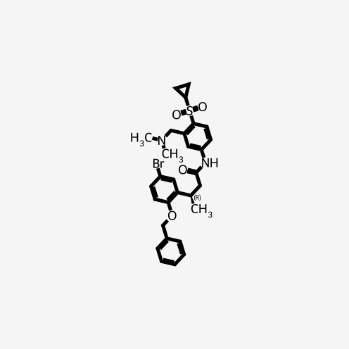 C[C@H](CC(=O)Nc1ccc(S(=O)(=O)C2CC2)c(CN(C)C)c1)c1cc(Br)ccc1OCc1ccccc1